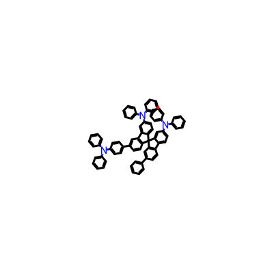 c1ccc(-c2ccc3c(c2)C2(c4ccc(-c5ccc(N(c6ccccc6)c6ccccc6)cc5)cc4-c4cc(N(c5ccccc5)c5ccccc5)ccc42)c2cc(N(c4ccccc4)c4ccccc4)ccc2-3)cc1